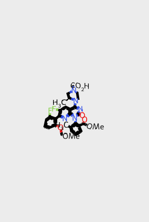 COCOc1cccc(F)c1-c1nc2c(cc1F)c(N1CCN(C(=O)O)C[C@@H]1C)nc(=O)n2-c1c(C)cccc1C(=O)OC